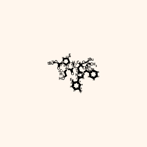 C[C@@H](CO)NC(=O)N(C[C@@H]1CN(C(=O)OC(C)(C)C)C[C@@H]1F)[C@@H](c1nc(-c2cc(F)ccc2F)cn1Cc1ccccc1)C(C)(C)O[Si](C)(C)C(C)(C)C